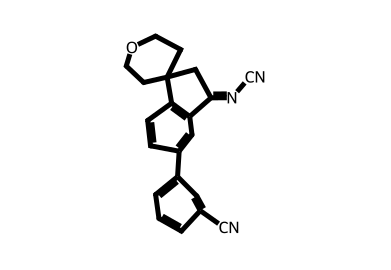 N#C/N=C1\CC2(CCOCC2)c2ccc(-c3cccc(C#N)c3)cc21